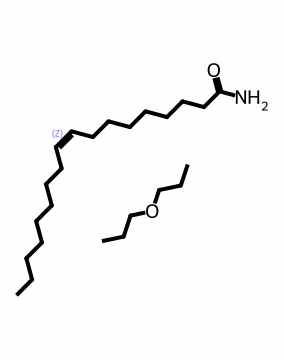 CCCCCCCC/C=C\CCCCCCCC(N)=O.CCCOCCC